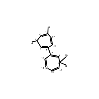 CC1=CC(C)C=C(C2=CC(C)(C)C=CN=C2)C=C1